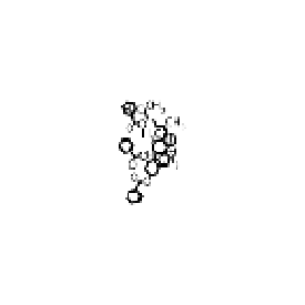 CC(C)[C@H](CC[C@@H](C)[C@H]1CC[C@H]2[C@@H]3CC=C4C[C@@H](OC(=O)c5ccccc5)C[C@H](OC(=O)c5ccccc5)[C@]4(C)[C@H]3CC[C@]12C)OC(=O)c1ccccc1